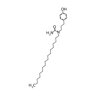 CCCCCCCCCCCCCCCCCCN(CCCc1ccc(O)cc1)C(N)=O